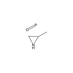 CC1CN1.O=[P]